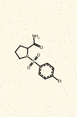 CCc1ccc(S(=O)(=O)N2CCCC2C(N)=O)cc1